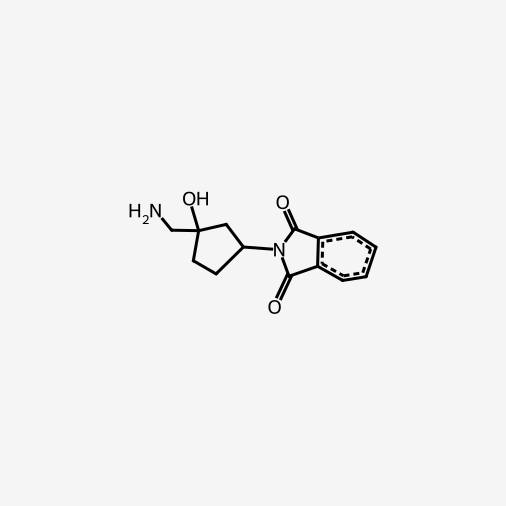 NCC1(O)CCC(N2C(=O)c3ccccc3C2=O)C1